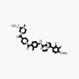 COc1ccc(-c2cnc3c(Nc4ccc(C(=O)N5CCC(C(=O)N6CCN(C)C(C(=O)O)C6)CC5)c(C)c4)nccn23)c(F)c1F